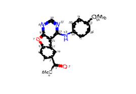 COC(=O)c1ccc2oc3ncnc(Nc4ccc(OC)cc4)c3c2c1